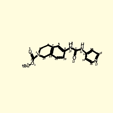 CC(C)(C)OC(=O)N1CCc2cc(NC(=O)Nc3ccncc3)ccc2C1